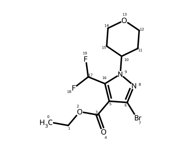 CCOC(=O)c1c(Br)nn(C2CCOCC2)c1C(F)F